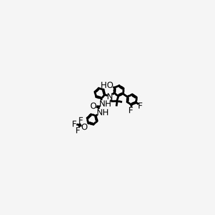 CC1(C)CN(c2ccccc2NC(=O)Nc2ccc(OC(F)(F)F)cc2)c2c(O)ccc(-c3ccc(F)c(F)c3)c21